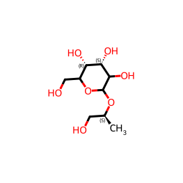 C[C@@H](CO)OC1OC(CO)[C@H](O)[C@H](O)C1O